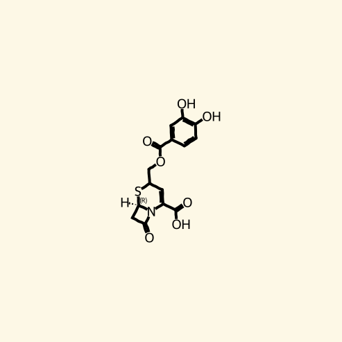 O=C(O)C1=CC(COC(=O)c2ccc(O)c(O)c2)S[C@@H]2CC(=O)N12